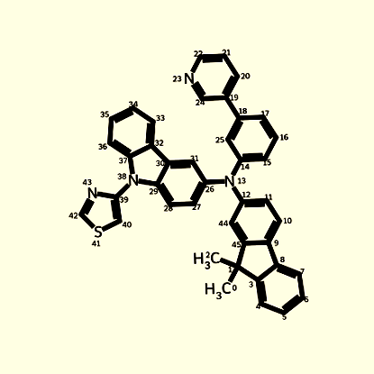 CC1(C)c2ccccc2-c2ccc(N(c3cccc(-c4cccnc4)c3)c3ccc4c(c3)c3ccccc3n4-c3cscn3)cc21